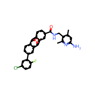 Cc1cc(N)nc(C)c1CNC(=O)c1ccc2c(c1)c1oc2c2ccc(-c3cc(Cl)ccc3F)cc21